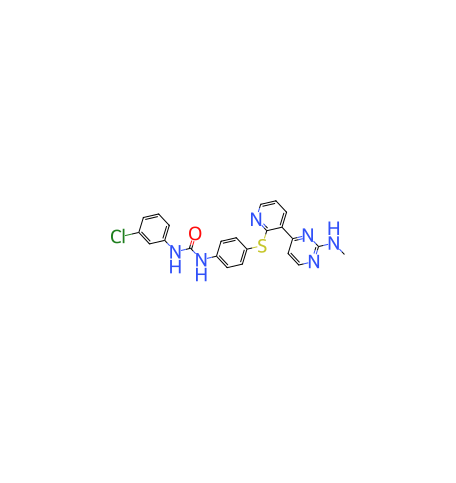 CNc1nccc(-c2cccnc2Sc2ccc(NC(=O)Nc3cccc(Cl)c3)cc2)n1